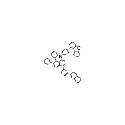 c1ccc(-c2ccccc2-c2ccccc2N(c2ccc(-c3cccc(-c4ccc5ccccc5c4)c3)cc2)c2ccc(-c3cccc4oc5ccccc5c34)cc2)cc1